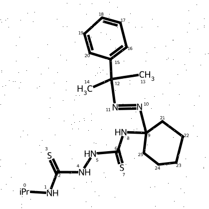 CC(C)NC(=S)NNC(=S)NC1(N=NC(C)(C)c2ccccc2)CCCCC1